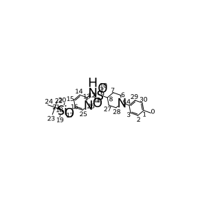 Cc1ccc(N2CCC(S(=O)(=O)Nc3ccc(O[Si](C)(C)C(C)(C)C)cn3)CC2)cc1